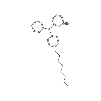 Br.CCCCCCCC.c1ccc(P(c2ccccc2)c2ccccc2)cc1